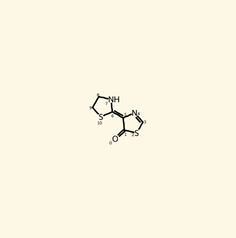 O=C1SC=N/C1=C1\NCCS1